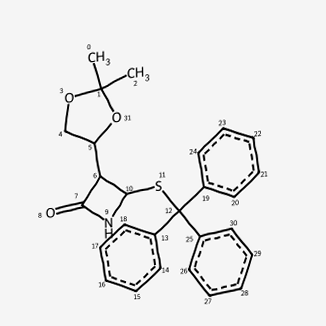 CC1(C)OCC(C2C(=O)NC2SC(c2ccccc2)(c2ccccc2)c2ccccc2)O1